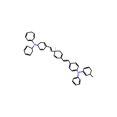 CC1C=C(N(c2ccccc2)c2ccc(/C=C/C3=CC[C@](C)(/C=C/C4=CCC(N(C5=CC=CCC=C5)C5C=CC=CC5)C=C4)C=C3)cc2)C=CC1